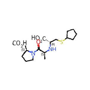 C[C@H](N[C@@H](CSC1CCCC1)C(=O)O)C(=O)N1CCC[C@H]1C(=O)O